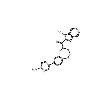 Cn1c(C(=O)N2CCOc3ccc(-c4ccc(N)nc4)cc3C2)cc2ccccc21